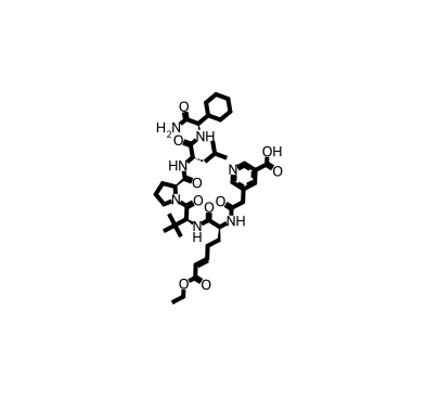 CCOC(=O)/C=C/CC[C@H](NC(=O)Cc1cncc(C(=O)O)c1)C(=O)N[C@H](C(=O)N1CCC[C@H]1C(=O)N[C@@H](CC(C)C)C(=O)N[C@H](C(N)=O)C1CCCCC1)C(C)(C)C